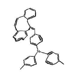 Cc1ccc(N(c2ccc(C)cc2)c2ccc(C=C3c4ccccc4C#Cc4ccccc43)cc2)cc1